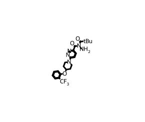 CC(C)(C)C(=O)N(N)C(=O)c1ccc(N2CCC(Oc3ccccc3C(F)(F)F)CC2)nn1